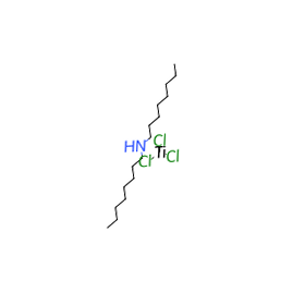 CCCCCCCCNCCCCCCCC.[Cl][Ti]([Cl])[Cl]